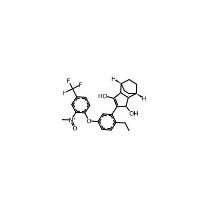 CCc1ccc(Oc2ccc(C(F)(F)F)cc2[N+](C)=O)cc1C1=C(O)C2C(C1O)[C@H]1CC[C@@H]2CC1